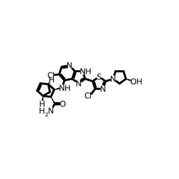 NC(=O)[C@@H]1[C@H](Nc2c(Cl)cnc3[nH]c(-c4sc(N5CC[C@@H](O)C5)nc4Cl)nc23)[C@H]2C=C[C@@H]1C2